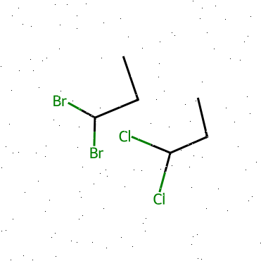 CCC(Br)Br.CCC(Cl)Cl